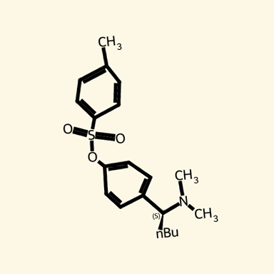 CCCC[C@@H](c1ccc(OS(=O)(=O)c2ccc(C)cc2)cc1)N(C)C